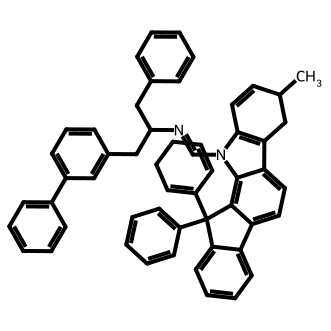 CC1C=Cc2c(c3ccc4c(c3n2/C=N/C(Cc2ccccc2)Cc2cccc(-c3ccccc3)c2)C(C2=CCCC=C2)(c2ccccc2)c2ccccc2-4)C1